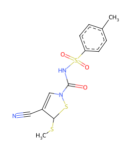 CSC1SN(C(=O)NS(=O)(=O)c2ccc(C)cc2)C=C1C#N